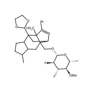 CO[C@H]1[C@H](F)[C@@H](F)[C@H](OCC23CC4C(C)CCC4C4(C5OCCO5)CC2C=C(C(C)C)C34C(=O)O)O[C@@H]1C